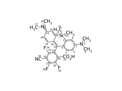 CN(C)c1ccc2c(c1)[Si](C)(C)C1=CC(=[N+](C)C)C=CC1=C2c1c(F)c(C#N)c(F)c(F)c1C(=O)O